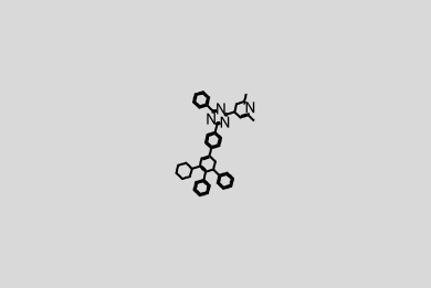 CC1=CC(c2nc(-c3ccccc3)nc(-c3ccc(C4=CC(C5CCCCC5)=C(c5ccccc5)C(c5ccccc5)C4)cc3)n2)CC(C)=N1